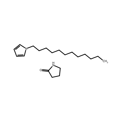 CCCCCCCCCCCCn1cccc1.O=C1CCCN1